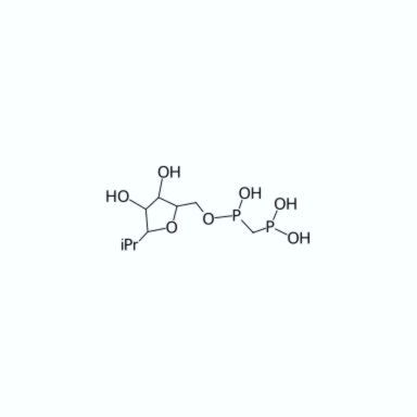 CC(C)C1OC(COP(O)CP(O)O)C(O)C1O